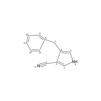 N#Cc1c[nH]cc1Cc1ccccc1